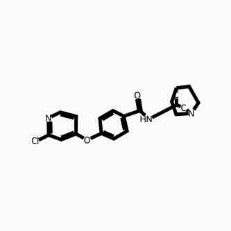 O=C(NC1CC2CCN(CC2)C1)c1ccc(Oc2ccnc(Cl)c2)cc1